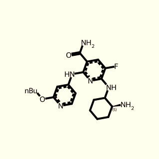 CCCCOc1cc(Nc2nc(NC3CCCC[C@@H]3N)c(F)cc2C(N)=O)ccn1